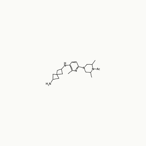 CC(=O)N1C(C)CN(c2ccc(NC3CC4(CC(N)C4)C3)c(C)n2)CC1C